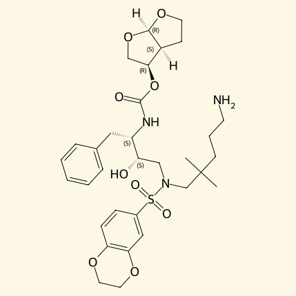 CC(C)(CCCN)CN(C[C@H](O)[C@H](Cc1ccccc1)NC(=O)O[C@H]1CO[C@H]2OCC[C@H]21)S(=O)(=O)c1ccc2c(c1)OCCO2